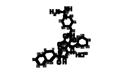 CC(NS(=O)(=O)c1ccc2ccccc2c1)C(=O)C(NC1CCCCC1)(C(=O)O)C(=O)NCC1CCN(C(=N)N)CC1.Cl